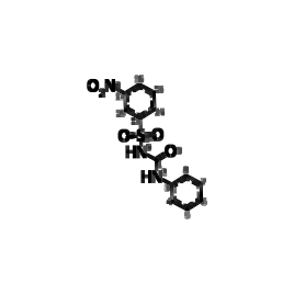 O=C(Nc1ccccc1)NS(=O)(=O)c1cccc([N+](=O)[O-])c1